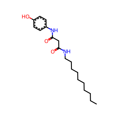 CCCCCCCCCCNC(=O)CC(=O)Nc1ccc(O)cc1